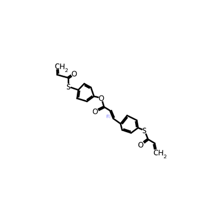 C=CC(=O)Sc1ccc(/C=C/C(=O)Oc2ccc(SC(=O)C=C)cc2)cc1